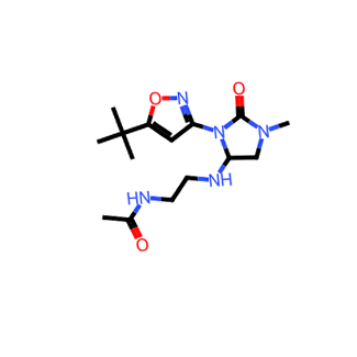 CC(=O)NCCNC1CN(C)C(=O)N1c1cc(C(C)(C)C)on1